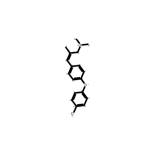 CC(=Cc1ccc(Oc2ccc(Cl)cc2)cc1)CN(C)C